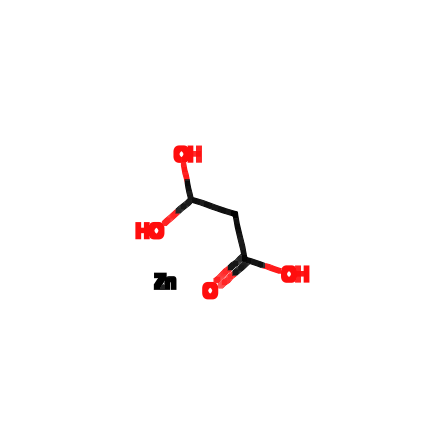 O=C(O)CC(O)O.[Zn]